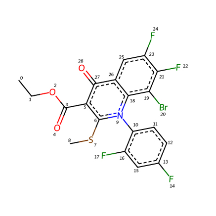 CCOC(=O)c1c(SC)n(-c2ccc(F)cc2F)c2c(Br)c(F)c(F)cc2c1=O